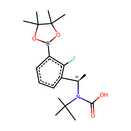 C[C@H](c1cccc(B2OC(C)(C)C(C)(C)O2)c1F)N(C(=O)O)C(C)(C)C